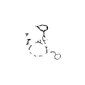 O=C(CC1CCCCCC1)N[C@H]1CCCCCCCCC[C@@H](C(=O)C(=O)NC2CC2)NC(=O)[C@@H]2C[C@]3(CC(c4cccc(Cl)c4)=NO3)CN2C1=O